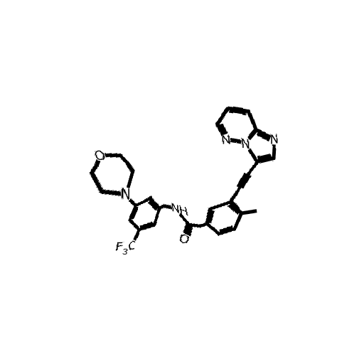 Cc1ccc(C(=O)Nc2cc(N3CCOCC3)cc(C(F)(F)F)c2)cc1C#Cc1cnc2cccnn12